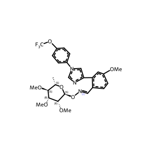 COc1ccc(/C=N/O[C@@H]2O[C@@H](C)[C@H](OC)[C@@H](OC)[C@H]2OC)c(-c2cn(-c3ccc(OC(F)(F)F)cc3)cn2)c1